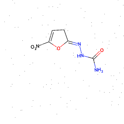 NC(=O)NN=C1CC=C([N+](=O)[O-])O1